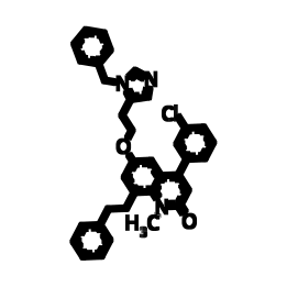 Cn1c(=O)cc(-c2cccc(Cl)c2)c2cc(OCCc3cncn3Cc3ccccc3)cc(CCc3ccccc3)c21